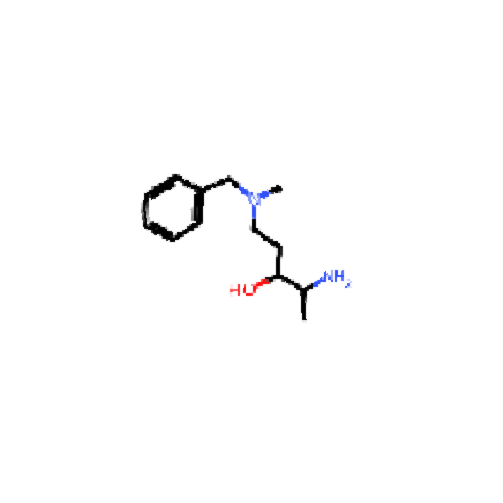 CC(N)C(O)CCN(C)Cc1ccccc1